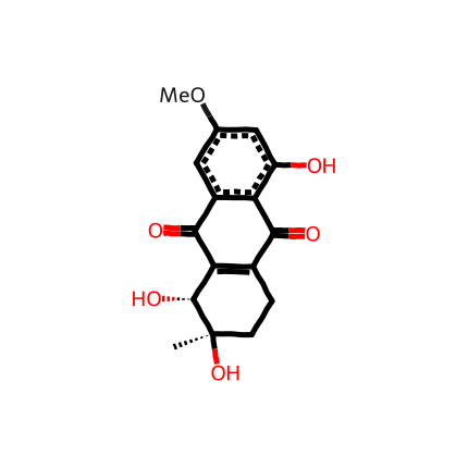 COc1cc(O)c2c(c1)C(=O)C1=C(CC[C@@](C)(O)[C@@H]1O)C2=O